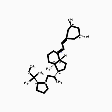 COC(C)(C)[C@@H]1CCCN1CC(C)[C@H]1CC[C@H]2/C(=C/C=C3C[C@@H](O)C[C@H](O)C3)CCC[C@]12C